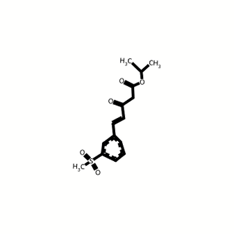 CC(C)OC(=O)CC(=O)C=Cc1cccc(S(C)(=O)=O)c1